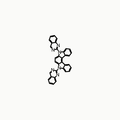 c1ccc2nc(-n3c4ccccc4c4c5c6ccccc6n(-c6ncc7ccccc7n6)c5ccc43)ncc2c1